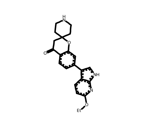 CCOc1ccc2c(-c3ccc4c(c3)OC3(CCNCC3)CC4=O)c[nH]c2n1